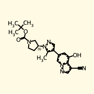 Cc1c(-c2cc(O)c3c(C#N)cnn3c2)cnn1[C@H]1CCN(C(=O)OC(C)(C)C)C1